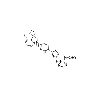 O=CN(Cc1cnc(-c2ccc(NCC3(c4ncccc4F)CCC3)nn2)s1)c1ncn[nH]1